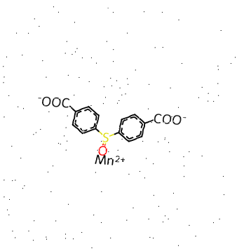 O=C([O-])c1ccc(S(=O)c2ccc(C(=O)[O-])cc2)cc1.[Mn+2]